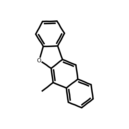 Cc1c2ccccc2cc2c1oc1ccccc12